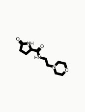 O=C1CCC(C(=O)NCCN2CCOCC2)N1